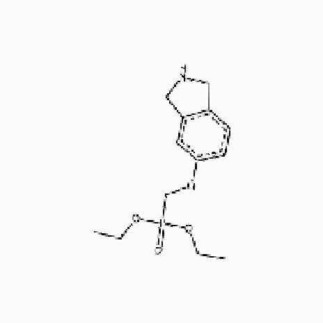 CCOP(=O)(COc1ccc2c(c1)CNC2)OCC